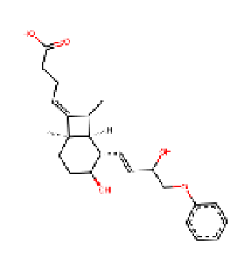 CC1C(=CCCC(=O)O)[C@]2(C)CC[C@H](O)[C@@H](/C=C/C(O)COc3ccccc3)[C@H]12